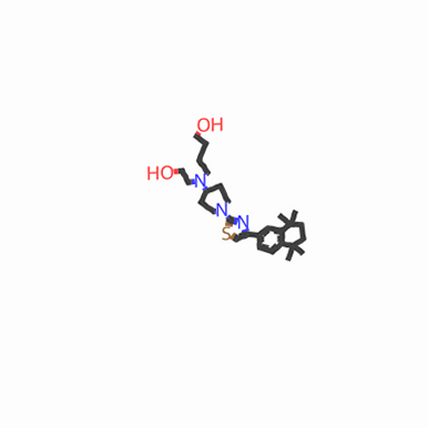 CC1(C)CCC(C)(C)c2cc(-c3csc(N4CCC(N(CCO)CCCCO)CC4)n3)ccc21